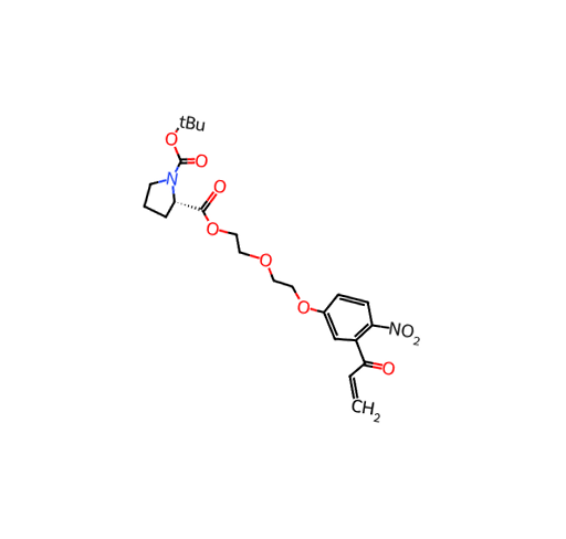 C=CC(=O)c1cc(OCCOCCOC(=O)[C@@H]2CCCN2C(=O)OC(C)(C)C)ccc1[N+](=O)[O-]